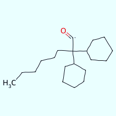 CCCCCCC([C]=O)(C1CCCCC1)C1CCCCC1